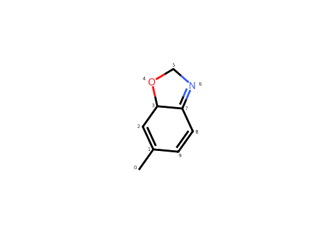 CC1=CC2OCN=C2C=C1